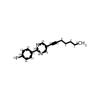 CCCCCC#Cc1cnc(-c2ccc(F)cc2)nc1